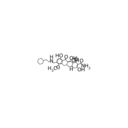 COc1c(CNCCC2CCCCC2)cc(O)c2c1CC1C[C@H]3CC(O)=C(C(N)=O)C(=O)[C@@]3(O)C(O)=C1C2=O